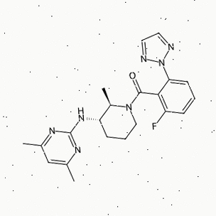 Cc1cc(C)nc(N[C@H]2CCCN(C(=O)c3c(F)cccc3-n3nccn3)[C@@H]2C)n1